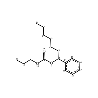 CCCCCCC(OC(=O)OCCC)c1ccccc1